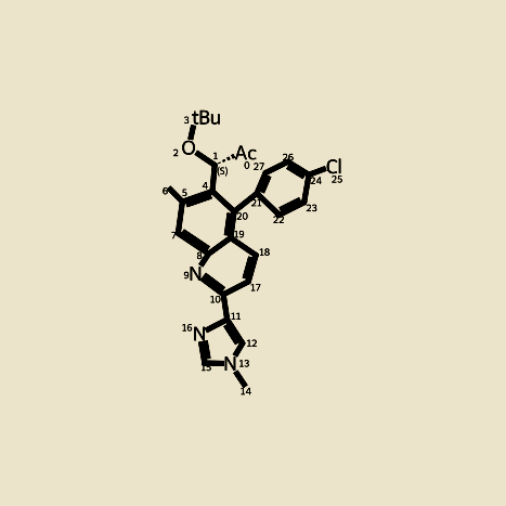 CC(=O)[C@@H](OC(C)(C)C)c1c(C)cc2nc(-c3cn(C)cn3)ccc2c1-c1ccc(Cl)cc1